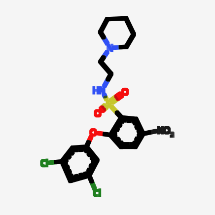 O=[N+]([O-])c1ccc(Oc2cc(Cl)cc(Cl)c2)c(S(=O)(=O)NCCN2CCCCC2)c1